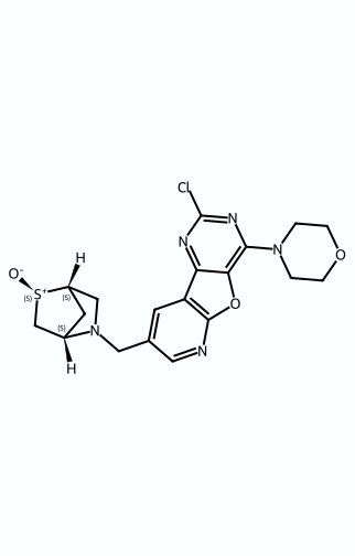 [O-][S@+]1C[C@@H]2C[C@H]1CN2Cc1cnc2oc3c(N4CCOCC4)nc(Cl)nc3c2c1